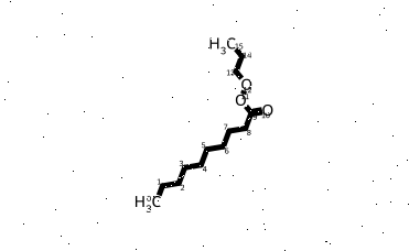 CCCCCCCCCC(=O)OOCCC